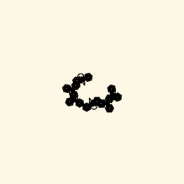 c1ccc(-c2nc3c(ccc4cc(N(c5ccccc5)c5ccc6c(c5)c5ccccc5n6-c5ccc(-c6cccc(-c7nc8ccc9cc(N(c%10ccccc%10)c%10ccc%11c(c%10)c%10ccccc%10n%11-c%10ccccc%10)ccc9c8o7)c6)cc5)ccc43)o2)cc1